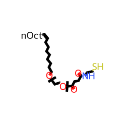 CCCCCCCC/C=C\CCCCCCCCOC(C)(C)CCOC(C)(C)C(=O)CCC(=O)NCCS